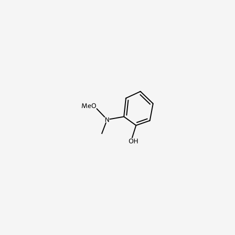 CON(C)c1ccccc1O